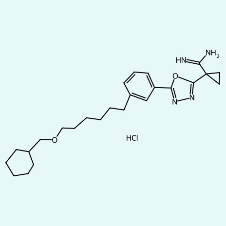 Cl.N=C(N)C1(c2nnc(-c3cccc(CCCCCCOCC4CCCCC4)c3)o2)CC1